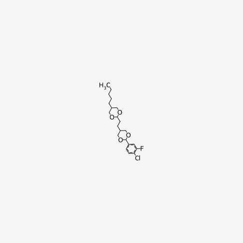 CCCCCC1COC(CCC2COC(c3ccc(Cl)c(F)c3)OC2)OC1